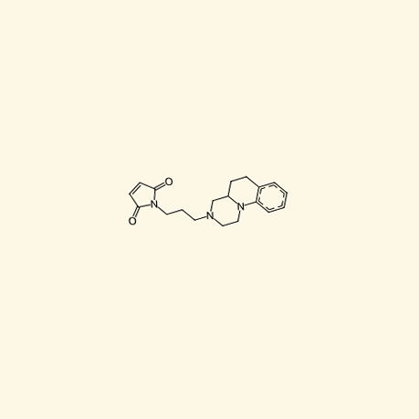 O=C1C=CC(=O)N1CCCN1CCN2c3ccccc3CCC2C1